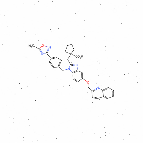 Cc1nc(-c2ccc(Cn3c(CC4(C(=O)O)CCCC4)nc4cc(OCc5ccc6ccccc6n5)ccc43)cc2)no1